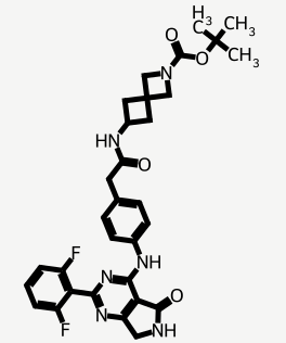 CC(C)(C)OC(=O)N1CC2(CC(NC(=O)Cc3ccc(Nc4nc(-c5c(F)cccc5F)nc5c4C(=O)NC5)cc3)C2)C1